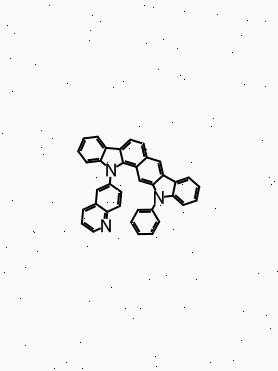 c1ccc(-n2c3ccccc3c3cc4ccc5c6ccccc6n(-c6ccc7ncccc7c6)c5c4cc32)cc1